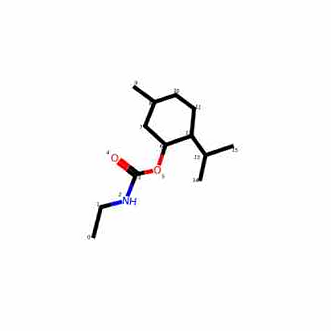 CCNC(=O)OC1CC(C)CCC1C(C)C